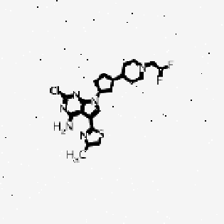 Cc1csc(-c2cn(C3CCC(C4CCN(CC(F)F)CC4)C3)c3nc(Cl)nc(N)c23)n1